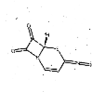 [N-]=[N+]=C1C=CN2C(=O)C(=O)[C@@H]2S1